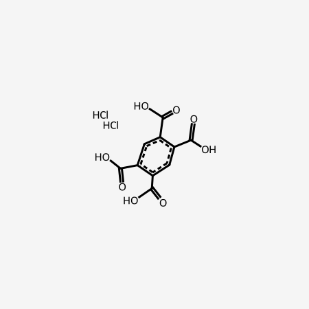 Cl.Cl.O=C(O)c1cc(C(=O)O)c(C(=O)O)cc1C(=O)O